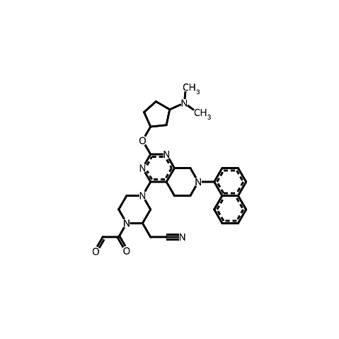 CN(C)C1CCC(Oc2nc3c(c(N4CCN(C(=O)C=O)C(CC#N)C4)n2)CCN(c2cccc4ccccc24)C3)C1